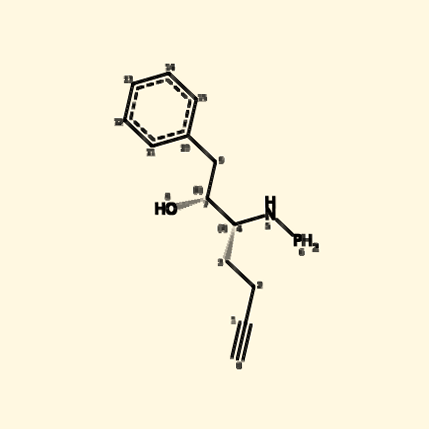 C#CCC[C@@H](NP)[C@H](O)Cc1ccccc1